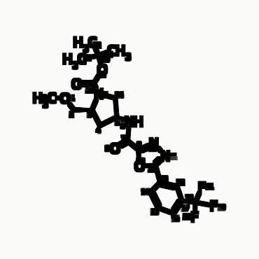 COC[C@@H]1C[C@@H](NC(=O)c2nnc(-c3cccc(C(F)(F)F)c3)o2)CN1C(=O)OC(C)(C)C